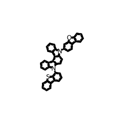 c1ccc2c(c1)oc1cc(-n3c4ccccc4c4c5c6ccccc6n(-c6cccc7c6sc6ccccc67)c5ccc43)ccc12